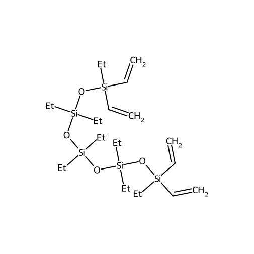 C=C[Si](C=C)(CC)O[Si](CC)(CC)O[Si](CC)(CC)O[Si](CC)(CC)O[Si](C=C)(C=C)CC